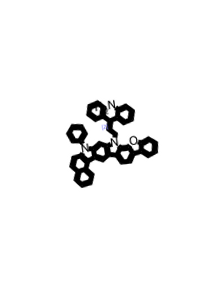 Nc1ccccc1/C(=C\Cn1c2cc3c(cc2c2ccc4c5ccccc5oc4c21)c1c2ccccc2ccc1n3-c1ccccc1)c1ccccc1